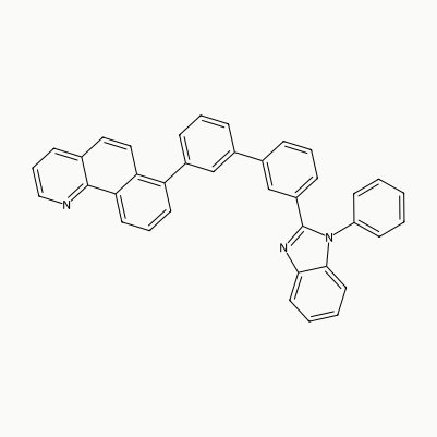 c1ccc(-n2c(-c3cccc(-c4cccc(-c5cccc6c5ccc5cccnc56)c4)c3)nc3ccccc32)cc1